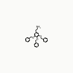 NCCc1cc(OCc2ccccc2)c(OCc2ccccc2)c(OCc2ccccc2)c1